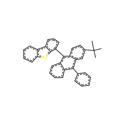 CC(C)(C)c1ccc2c(-c3cccc4c3sc3ccccc34)c3ccccc3c(-c3ccccc3)c2c1